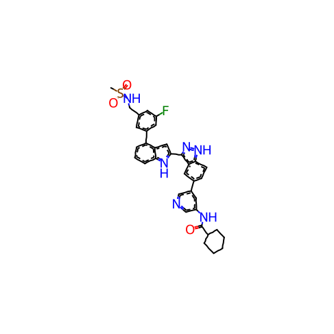 CS(=O)(=O)NCc1cc(F)cc(-c2cccc3[nH]c(-c4n[nH]c5ccc(-c6cncc(NC(=O)C7CCCCC7)c6)cc45)cc23)c1